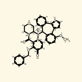 COc1cccc2c1-c1ccsc1-c1ccccc1C2N1[C@@H]2COCCN2C(=O)c2c(OCc3ccccc3)c(=O)ccn21